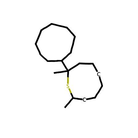 CC1CCCCCCC(C)(C2CCCCCCCC2)S1